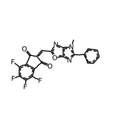 Cn1c(-c2ccccc2)nc2oc(C=C3C(=O)c4c(F)c(F)c(F)c(F)c4C3=O)nc21